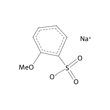 COc1ccccc1S(=O)(=O)[O-].[Na+]